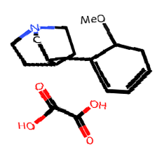 COC1CC=CC=C1C1CN2CCC1CC2.O=C(O)C(=O)O